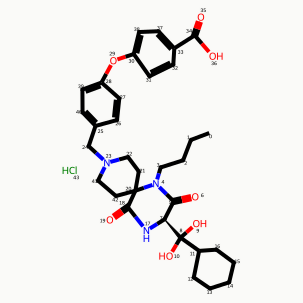 CCCCN1C(=O)[C@@H](C(O)(O)C2CCCCC2)NC(=O)C12CCN(Cc1ccc(Oc3ccc(C(=O)O)cc3)cc1)CC2.Cl